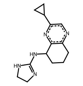 c1nc2c(nc1C1CC1)C(NC1=NCCN1)CCC2